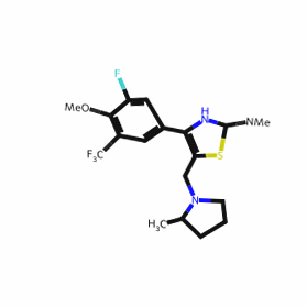 CNC1NC(c2cc(F)c(OC)c(C(F)(F)F)c2)=C(CN2CCCC2C)S1